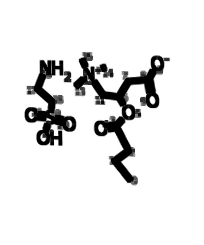 CCCC(=O)OC(CC(=O)[O-])C[N+](C)(C)C.NCCS(=O)(=O)O